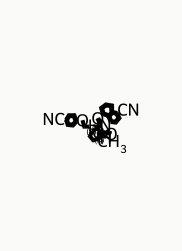 C[C@]12CC[C@](CCOc3ccc(C#N)cc3)(O1)[C@@H]1C(=O)N(c3ccc(C#N)c4ccccc34)C(=O)[C@@H]12